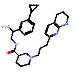 O=C(O)C(CNC(=O)[C@@H]1CCCN(CCCc2ccc3c(n2)NCCC3)C1)c1cccc(C2CC2)c1